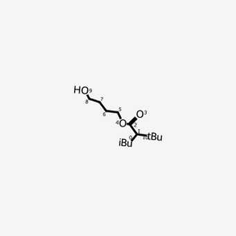 CCC(C)C(C(=O)OCCCCO)C(C)(C)C